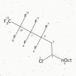 CCCCCCCCC(Cl)CC(F)(F)C(F)(F)C(F)(F)C(F)(F)F